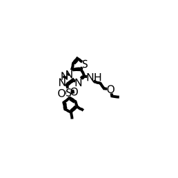 CCOCCCNc1nc2c(S(=O)(=O)c3ccc(C)c(C)c3)nnn2c2ccsc12